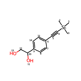 C[Si](C)(C)C#Cc1ccc(C(O)CO)cc1